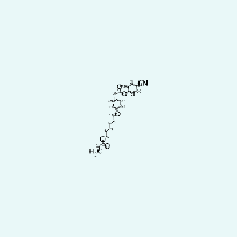 C=CC(=O)OCCCCCCOc1ccc(CC(=O)Oc2ccc(C#N)cc2)cc1